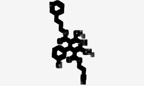 CC1=C(C(=O)OCCC#N)C(c2cccc(Cl)c2)C(C(=O)OCCCc2cccnc2)=C(C)N1